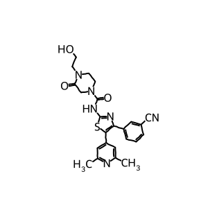 Cc1cc(-c2sc(NC(=O)N3CCN(CCO)C(=O)C3)nc2-c2cccc(C#N)c2)cc(C)n1